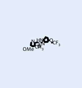 COc1ccnc(C[S+]([O-])c2nc3cc(OCC(F)(F)F)ccc3[nH]2)c1C